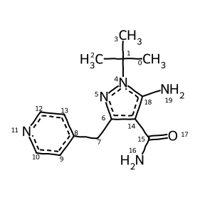 CC(C)(C)n1nc(Cc2ccncc2)c(C(N)=O)c1N